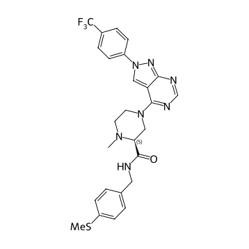 CSc1ccc(CNC(=O)[C@@H]2CN(c3ncnc4nn(-c5ccc(C(F)(F)F)cc5)cc34)CCN2C)cc1